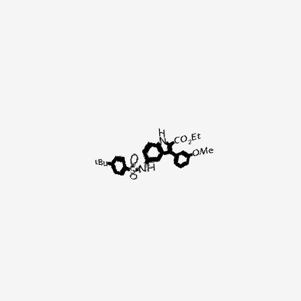 CCOC(=O)c1[nH]c2ccc(NS(=O)(=O)c3ccc(C(C)(C)C)cc3)cc2c1-c1cccc(OC)c1